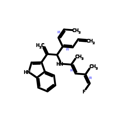 C=C/C=C(\C=C/C)C(N/C(C)=C/C(C)=C\F)C(=C)c1c[nH]c2ccccc12